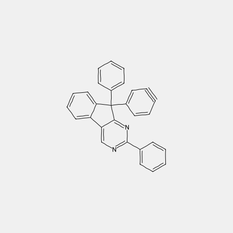 c1ccc(C2(c3ccccc3)c3ccccc3-c3cnc(-c4ccccc4)nc32)cc#1